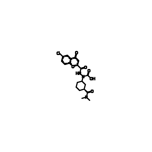 CN(C)C(=O)[C@H]1CCCC(N(NC(=O)c2cc(=O)c3cc(Cl)ccc3o2)C(=O)O)C1